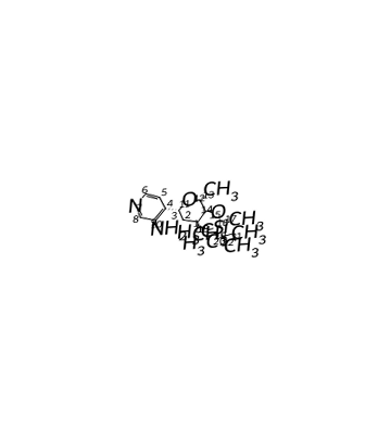 C[C@H]1C[C@H](c2ccncc2N)O[C@H](C)[C@H]1O[Si](C)(C)C(C)(C)C